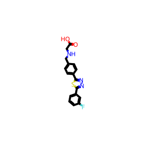 O=C(O)CNCc1ccc(-c2nnc(-c3cccc(F)c3)s2)cc1